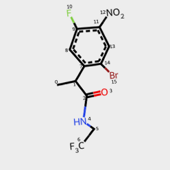 CC(C(=O)NCC(F)(F)F)c1cc(F)c([N+](=O)[O-])cc1Br